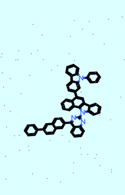 c1ccc(-c2ccc3cc(-c4nc(-n5c6ccccc6c6cc(-c7ccc8c9ccccc9n(-c9ccccc9)c8c7)c7ccccc7c65)nc5ccccc45)ccc3c2)cc1